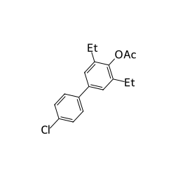 CCc1cc(-c2ccc(Cl)cc2)cc(CC)c1OC(C)=O